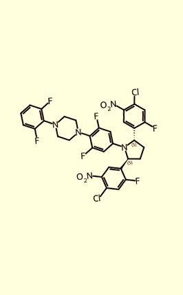 O=[N+]([O-])c1cc([C@@H]2CC[C@@H](c3cc([N+](=O)[O-])c(Cl)cc3F)N2c2cc(F)c(N3CCN(c4c(F)cccc4F)CC3)c(F)c2)c(F)cc1Cl